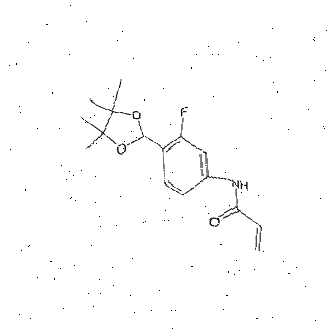 C=CC(=O)Nc1ccc(C2OC(C)(C)C(C)(C)O2)c(F)c1